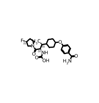 C[C@@H](C1CCC(Oc2ccc(C(N)=O)cc2)CC1)[C@H](NC(=O)O)C(=O)N1CC[C@H](F)C1